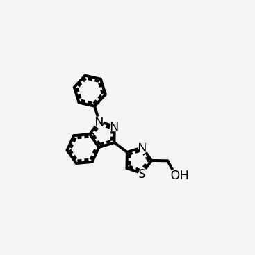 OCc1nc(-c2nn(-c3ccccc3)c3ccccc23)cs1